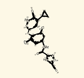 O=C(Nc1cc(Cl)c(Oc2cc(C3CC3)c(=O)[nH]n2)c(Cl)c1)c1noc(=O)[nH]1